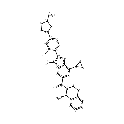 C[C@@H]1c2ccccc2CCN1C(=O)c1cc(C2CC2)c2cc(-c3ccc(N4CCC(C(=O)O)C4)cc3F)n(C)c2c1